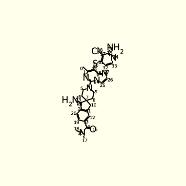 Cc1nc(N2CCC3(CC2)Cc2cc(C(=O)N(C)C)ccc2[C@H]3N)n2ccnc2c1Sc1ccnc(N)c1Cl